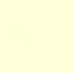 Nc1ccc(-c2cccs2)cn1